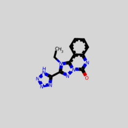 CCn1c(-c2nnn[nH]2)nn2c(=O)nc3ccccc3c12